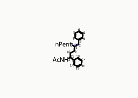 CCCCC/C(=C\c1ccccc1)CCC(NC(C)=O)c1ccccc1